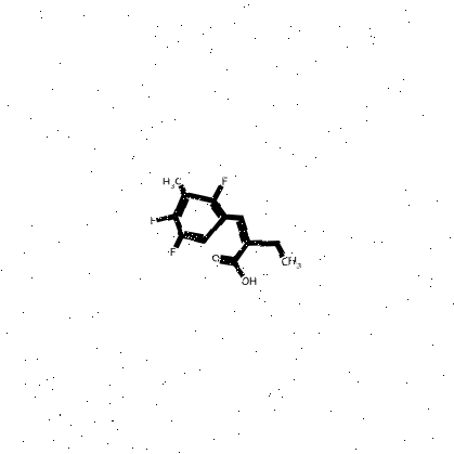 CCC(=Cc1cc(F)c(F)c(C)c1F)C(=O)O